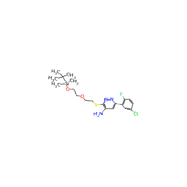 CC(C)(C)[Si](C)(C)OCCOCCSc1nnc(-c2cc(Cl)ccc2F)cc1N